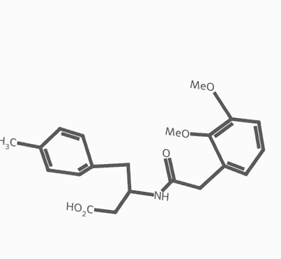 COc1cccc(CC(=O)NC(CC(=O)O)Cc2ccc(C)cc2)c1OC